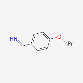 CCCOc1ccc(C=N)cc1